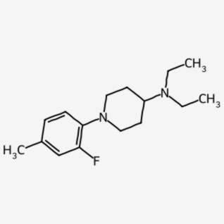 CCN(CC)C1CCN(c2ccc(C)cc2F)CC1